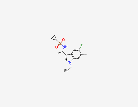 Cc1cc2c(cc1F)c([C@@H](C)NS(=O)(=O)C1CC1)cn2CC(C)C